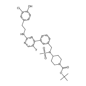 CC(C)(C)OC(=O)N1CCC(N(Cc2cccc(-c3nc(NCCc4ccc(O)c(Cl)c4)ncc3F)c2)S(C)(=O)=O)CC1